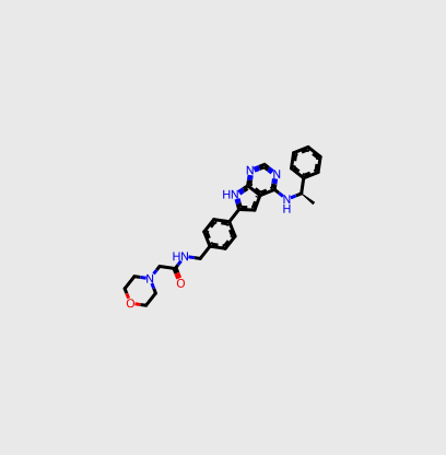 C[C@@H](Nc1ncnc2[nH]c(-c3ccc(CNC(=O)CN4CCOCC4)cc3)cc12)c1ccccc1